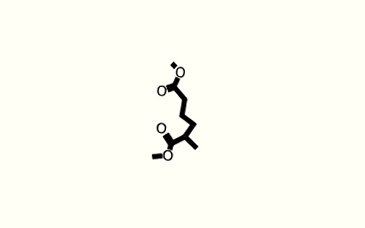 COC(=O)CCCC(C)C(=O)OC